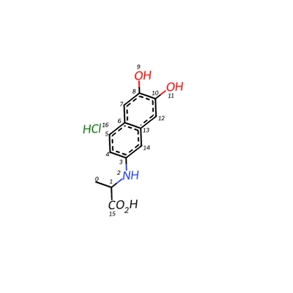 CC(Nc1ccc2cc(O)c(O)cc2c1)C(=O)O.Cl